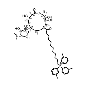 CC[C@H]1OC(=O)[C@H](C)[C@@H](O)[C@H](C)[C@@H](O[C@@H]2O[C@H](C)C[C@H](N(C)C)[C@H]2O)[C@](C)(O)C[C@@H](C)CN(C(=O)CCCCCCCCCCC[PH](c2cccc(C)c2)(c2cccc(C)c2)c2cccc(C)c2)[C@H](C)[C@@H](O)[C@]1(C)O